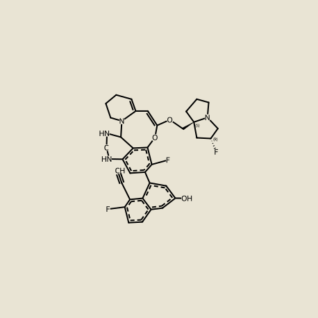 C#Cc1c(F)ccc2cc(O)cc(-c3cc4c5c(c3F)OC(OC[C@@]36CCCN3C[C@H](F)C6)=CC3=CCCCN3C5NCN4)c12